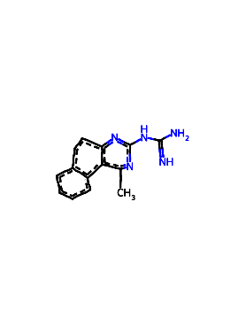 Cc1nc(NC(=N)N)nc2ccc3ccccc3c12